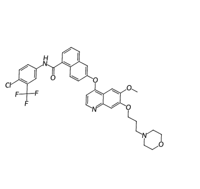 COc1cc2c(Oc3ccc4c(C(=O)Nc5ccc(Cl)c(C(F)(F)F)c5)cccc4c3)ccnc2cc1OCCCN1CCOCC1